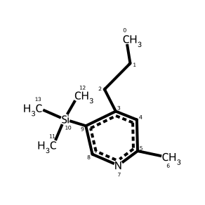 CCCc1cc(C)ncc1[Si](C)(C)C